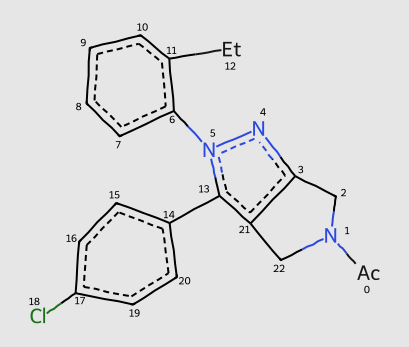 [CH2]C(=O)N1Cc2nn(-c3ccccc3CC)c(-c3ccc(Cl)cc3)c2C1